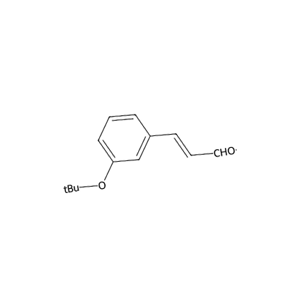 CC(C)(C)Oc1cccc(C=C[C]=O)c1